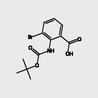 CC(C)(C)OC(=O)Nc1c(Br)cccc1C(=O)O